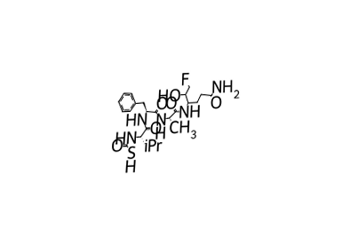 CC(C)[C@H](NC(=O)S)C(=O)N[C@@H](Cc1ccccc1)C(=O)N[C@@H](C)C(=O)NC(CCC(N)=O)C(O)CF